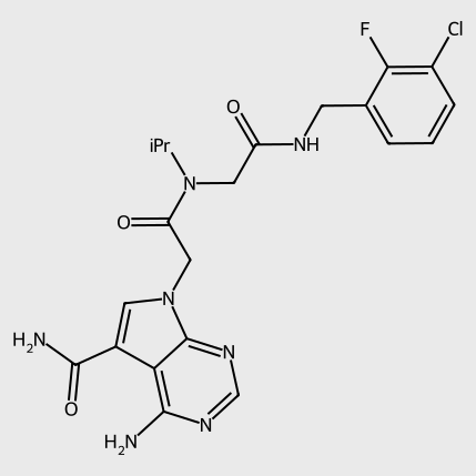 CC(C)N(CC(=O)NCc1cccc(Cl)c1F)C(=O)Cn1cc(C(N)=O)c2c(N)ncnc21